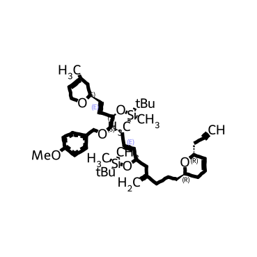 C#CC[C@@H]1C=CC[C@@H](CCCC(=C)CC(/C=C/C[C@H](OCc2ccc(OC)cc2)[C@H](/C=C/[C@@H]2CC(C)=CCO2)O[Si](C)(C)C(C)(C)C)O[Si](C)(C)C(C)(C)C)O1